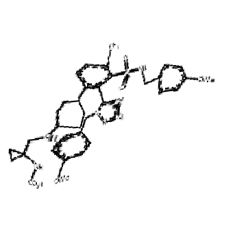 COc1ccc(CNS(=O)(=O)c2c(C(F)(F)F)ccc(C3CCC(NCC4(NC(=O)O)CC4)CC3)c2-c2nnnn2Cc2ccc(OC)cc2)cc1